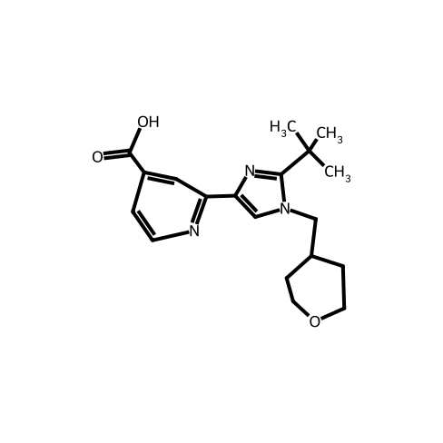 CC(C)(C)c1nc(-c2cc(C(=O)O)ccn2)cn1CC1CCOCC1